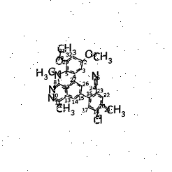 COc1ccc(N(C)c2nnc(C)c3cc(-c4cc(Cl)c(C)cc4C#N)ccc23)c(OC)c1